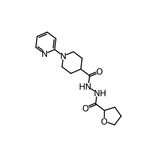 O=C(NNC(=O)C1CCCO1)C1CCN(c2ccccn2)CC1